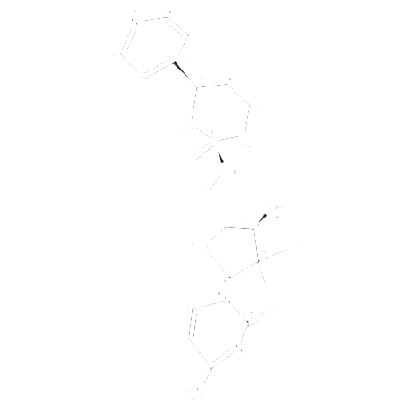 Nc1ccn([C@@H]2O[C@H](CO[P@]3(=O)OCC[C@H](c4ccncc4)O3)[C@@H](O)C2(F)F)c(=O)n1